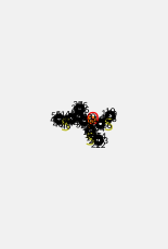 O=P(c1ccc2sc3ccccc3c2c1)(c1ccc2sc3ccccc3c2c1)c1ccc2c(c1)c1ccccc1c1cc3c(cc21)sc1ccccc13